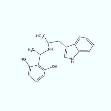 CC(NC(Cc1c[nH]c2ccccc12)C(=O)O)c1c(O)cccc1O